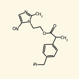 Cc1ncc(N=O)n1CCOC(=O)C(C)c1ccc(CC(C)C)cc1